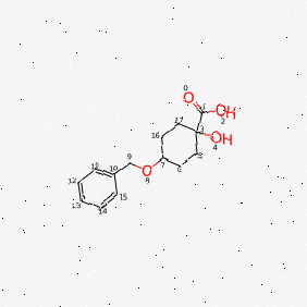 O=C(O)C1(O)CCC(OCc2ccccc2)CC1